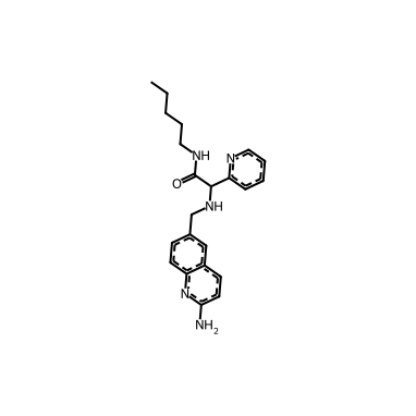 CCCCCNC(=O)C(NCc1ccc2nc(N)ccc2c1)c1ccccn1